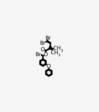 CC1(C)C(C=C(Br)Br)C1C(=O)OC(Br)c1cccc(Oc2ccccc2)c1